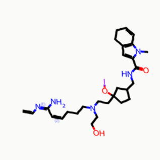 C=C/N=C(N)\C=C/CCCN(CCO)CCC1(OI)CCC(CNC(=O)c2cc3c(n2C)C=CCC3)C1